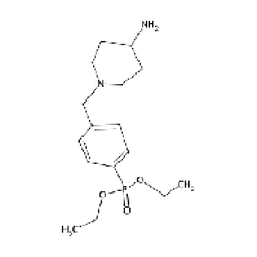 CCOP(=O)(OCC)c1ccc(CN2CCC(N)CC2)cc1